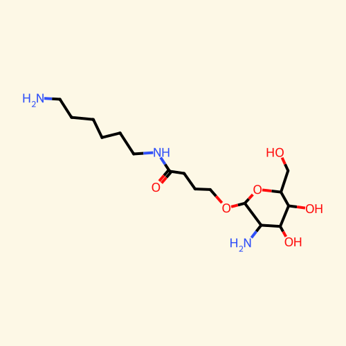 NCCCCCCNC(=O)CCCOC1OC(CO)C(O)C(O)C1N